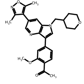 COc1cc(-c2cn(CC3CCOCC3)c3cc(-c4c(C)noc4C)cnc23)ccc1C(C)=O